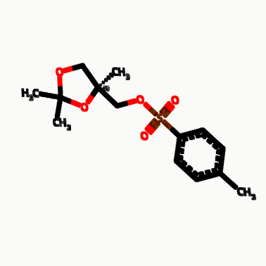 Cc1ccc(S(=O)(=O)OC[C@]2(C)COC(C)(C)O2)cc1